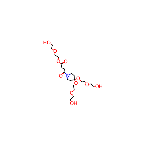 O=C(CCC(=O)N1CCC(OCCOCCO)(OCCOCCO)CC1)OCCOCCO